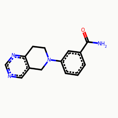 NC(=O)c1cccc(N2CCc3ncncc3C2)c1